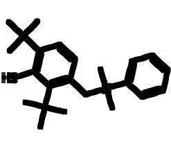 CC(C)(C)c1ccc(C[Si](C)(C)c2ccccc2)c(C(C)(C)C)c1S